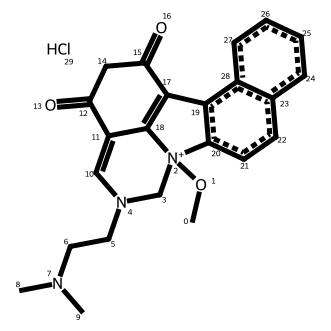 CO[N+]12CN(CCN(C)C)C=C3C(=O)CC(=O)C(=C31)c1c2ccc2ccccc12.Cl